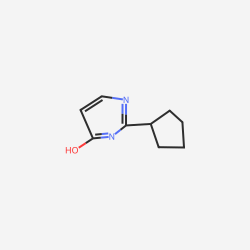 Oc1ccnc(C2CCCC2)n1